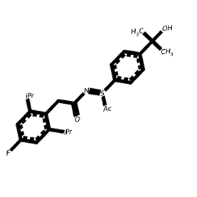 CC(=O)/S(=N\C(=O)Cc1c(C(C)C)cc(F)cc1C(C)C)c1ccc(C(C)(C)O)cc1